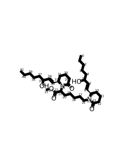 CCCCCC(O)C=C[C@H]1CCCC(=O)N1CCCCCC(C(=O)OC)N1C(=O)CCC[C@@H]1C=CC(O)CCCCC